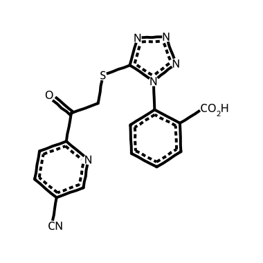 N#Cc1ccc(C(=O)CSc2nnnn2-c2ccccc2C(=O)O)nc1